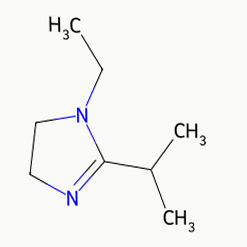 CCN1CCN=C1C(C)C